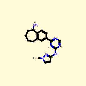 Cn1ccc(Nc2ncnc(-c3ccc4c(c3)CCCC[C@H]4N)n2)n1